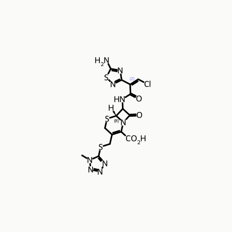 Cn1nnnc1SCC1=C(C(=O)O)N2C(=O)C(NC(=O)/C(=C\Cl)c3nsc(N)n3)[C@H]2SC1